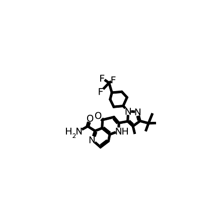 Cc1c(C(C)(C)C)nn(C2CCC(C(F)(F)F)CC2)c1-c1cc(=O)c2c(C(N)=O)nccc2[nH]1